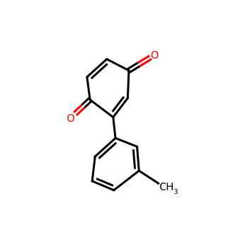 Cc1cccc(C2=CC(=O)C=CC2=O)c1